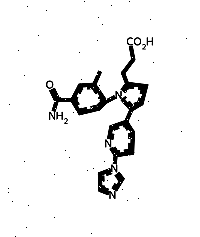 Cc1cc(C(N)=O)ccc1-n1c(CCC(=O)O)ccc1-c1ccc(-n2ccnc2)nc1